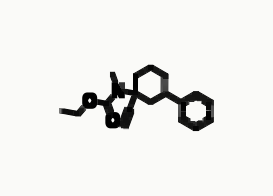 C#CC1(N(C)C(=O)OCC)CCC=C(c2ccccc2)C1